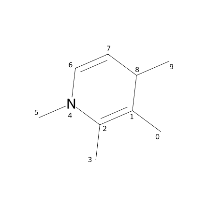 CC1=C(C)N(C)C=CC1C